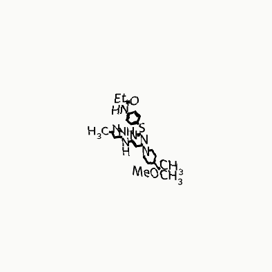 CCC(=O)Nc1ccc(Sc2nc(Nc3cc(C)n[nH]3)cc(N3CCC(C(C)(C)OC)CC3)n2)cc1